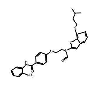 CN(C)CCOc1cccc2cc(N(C=O)CCOc3ccc(C(=O)Nc4ccccc4N)cc3)oc12